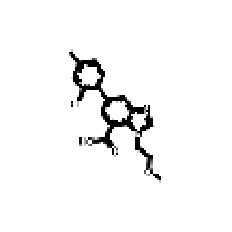 COCCn1cnc2cc(-c3ccc(C)cc3Cl)cc(C(=O)O)c21